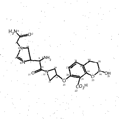 NC(=O)CN1C=NC(C(N)C(=O)N2CC(Oc3ccc4c(c3C(=O)O)OB(O)CC4)C2)C1